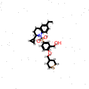 CCc1ccc2c(c1)CCC(C1CC1)N2S(=O)(=O)c1ccc(OCC2CCSCC2)c(CO)c1